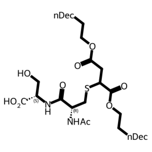 CCCCCCCCCCCCOC(=O)CC(SC[C@H](NC(C)=O)C(=O)N[C@@H](CO)C(=O)O)C(=O)OCCCCCCCCCCCC